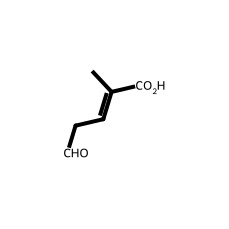 CC(=CCC=O)C(=O)O